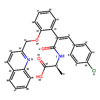 C[C@H](NC(=O)C(=Cc1ccc(Cl)cc1)c1ccccc1OCc1ccc2ccccc2n1)C(=O)O